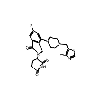 Cc1ncsc1CN1CCN(c2cc(F)cc3c2CN(C2CCC(=O)NC2=O)C3=O)CC1